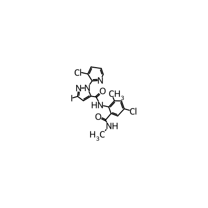 CNC(=O)c1cc(Cl)cc(C)c1NC(=O)c1cc(I)nn1-c1ncccc1Cl